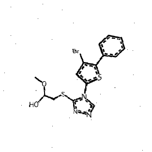 COC(O)CSc1nncn1-c1cc(Br)c(-c2ccccc2)s1